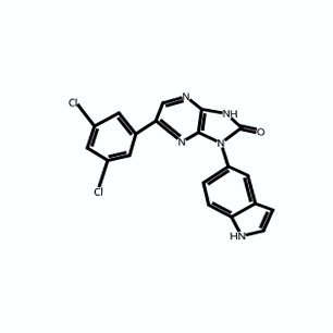 O=c1[nH]c2ncc(-c3cc(Cl)cc(Cl)c3)nc2n1-c1ccc2[nH]ccc2c1